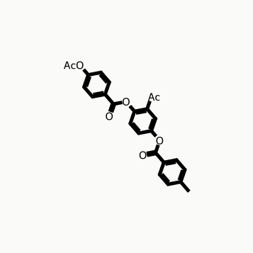 CC(=O)Oc1ccc(C(=O)Oc2ccc(OC(=O)c3ccc(C)cc3)cc2C(C)=O)cc1